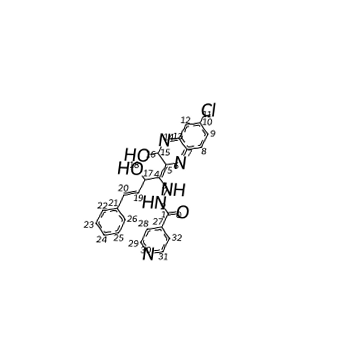 O=C(NNC(=C1N=c2ccc(Cl)cc2=NC1O)C(O)C=Cc1ccccc1)c1ccncc1